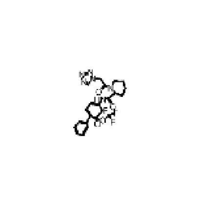 O=C(NC1=CC=C(c2ccccc2)C(Cl)(OC(F)(F)F)C1)C1CCCCN1C(=O)Cn1cnnn1